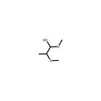 COC(C)C(O)OC